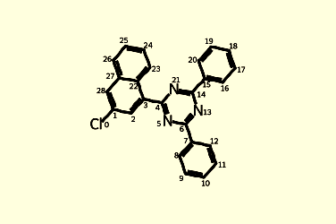 Clc1cc(-c2nc(-c3ccccc3)nc(-c3ccccc3)n2)c2ccccc2c1